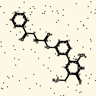 CCc1cc(-c2cncc(OC(=O)NCC(=O)c3ccccc3)c2)c(C)[nH]c1=O